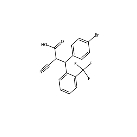 N#CC(C(=O)O)C(c1ccc(Br)cc1)c1ccccc1C(F)(F)F